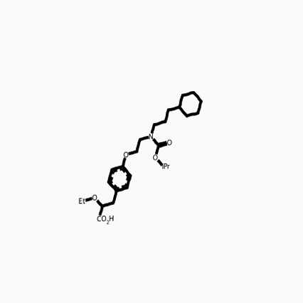 CCOC(Cc1ccc(OCCN(CCCC2CCCCC2)C(=O)OC(C)C)cc1)C(=O)O